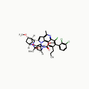 COC(=O)N1[C@@H]2C[C@@H]([C@@H](OC(F)(F)F)C2)[C@@H]1c1cc2c(C)nc3c(F)c(-c4cccc(Cl)c4Cl)c(CCC#N)cc3c2n1[C@H]1[C@@H]2C[C@H]1N(C(=O)OC(C)(C)C)C2